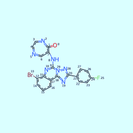 O=c1nccncc1Nc1nc2c(Br)cccc2c2nc(-c3ccc(F)cc3)nn12